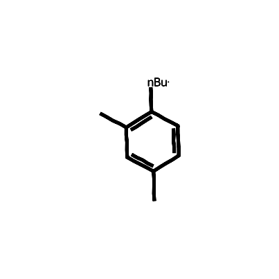 [CH2]CC[CH]c1ccc(C)cc1C